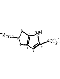 CNC1Cc2cc(C(=O)O)[nH]c2C1